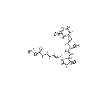 CC(C)OC(=O)CCCC=CC[C@H]1C=CC(=O)[C@@H]1C=C[C@@H](O)COc1cccc(Cl)c1